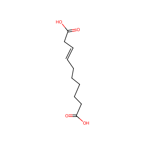 O=C(O)CC=CCCCCCC(=O)O